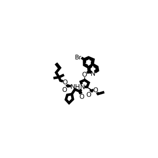 C=CCC(C)(C)COC(=O)N[C@H](C(=O)N1C[C@H](Oc2nccc3ccc(Br)cc23)C[C@H]1C(=O)OCC)C1CCCC1